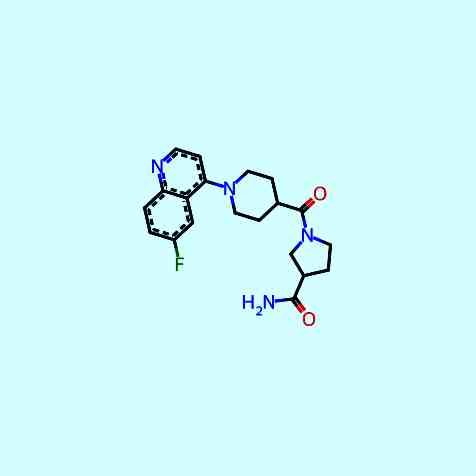 NC(=O)C1CCN(C(=O)C2CCN(c3ccnc4ccc(F)cc34)CC2)C1